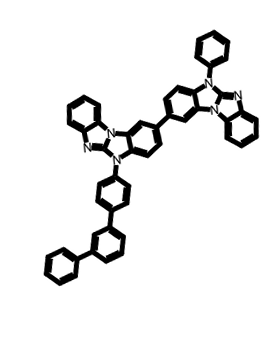 c1ccc(-c2cccc(-c3ccc(-n4c5ccc(-c6ccc7c(c6)n6c8ccccc8nc6n7-c6ccccc6)cc5n5c6ccccc6nc45)cc3)c2)cc1